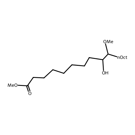 CCCCCCCCC(OC)C(O)CCCCCCCC(=O)OC